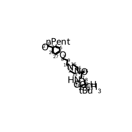 CCCCCC(=O)c1ccc(OCCCN2CCN(C(=O)[C@@H](CC(C)CC(C)(C)C)NC(=O)O)CC2)cc1